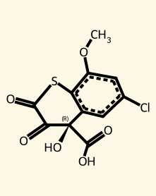 COc1cc(Cl)cc2c1SC(=O)C(=O)[C@@]2(O)C(=O)O